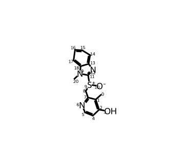 Cc1c(O)ccnc1C[S+]([O-])c1nc2ccccc2n1C